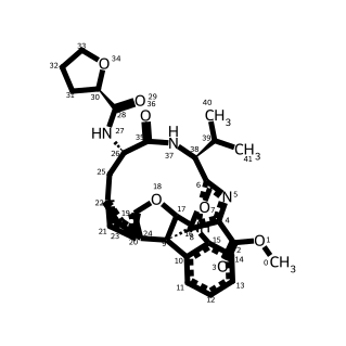 COC(=O)c1nc2oc1[C@@]13c4ccccc4NC1Oc1ccc(cc13)C[C@H](NC(=O)[C@H]1CCCO1)C(=O)N[C@H]2C(C)C